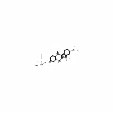 CCNCCOc1ccc2c(c1)C(C)(C)c1[nH]c3cc(C#N)ccc3c1C2=O